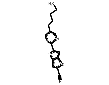 CCCCCc1cnc(-c2cc3sc(C#N)cc3s2)nc1